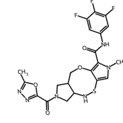 Cc1nnc(C(=O)N2CC3COc4c(cn(C)c4C(=O)Nc4cc(F)c(F)c(F)c4)SNC3C2)o1